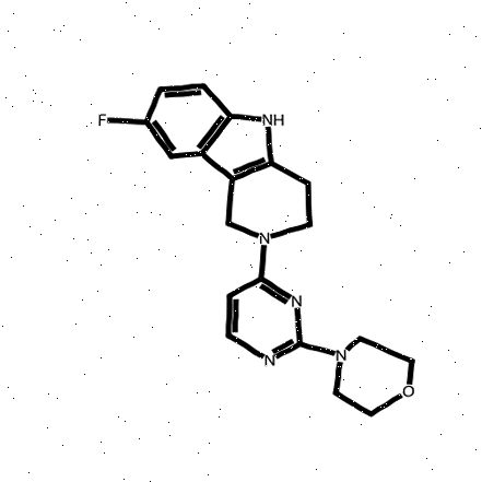 Fc1ccc2[nH]c3c(c2c1)CN(c1ccnc(N2CCOCC2)n1)CC3